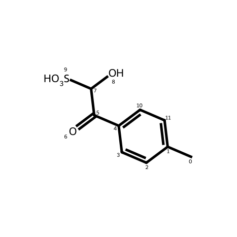 Cc1ccc(C(=O)C(O)S(=O)(=O)O)cc1